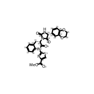 COC(=O)c1csc(NC(=O)[C@H](Cc2ccccc2)N2C(=O)N[C@H](c3ccc4c(c3)OCCO4)C2=O)n1